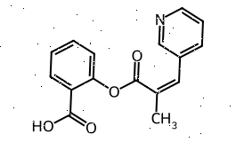 CC(=Cc1cccnc1)C(=O)Oc1ccccc1C(=O)O